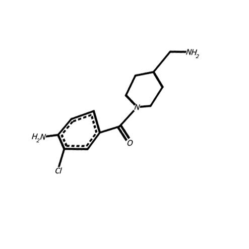 NCC1CCN(C(=O)c2ccc(N)c(Cl)c2)CC1